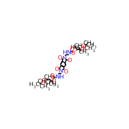 CC(CC(C)(C)OOC(C)(C)C)OC(=O)NCCn1c(=O)c2cc3c(=O)n(CCNC(=O)OC(C)CC(C)(C)OOC(C)(C)C)c(=O)c3cc2c1=O